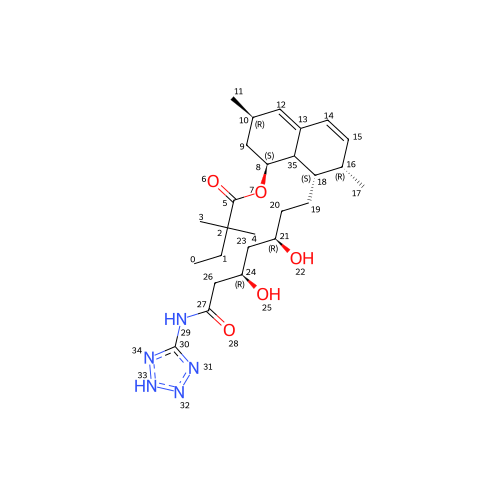 CCC(C)(C)C(=O)O[C@H]1C[C@@H](C)C=C2C=C[C@H](C)[C@H](CC[C@@H](O)C[C@@H](O)CC(=O)Nc3nn[nH]n3)C21